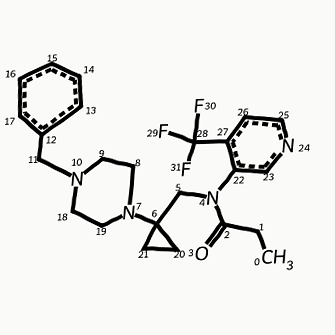 CCC(=O)N(CC1(N2CCN(Cc3ccccc3)CC2)CC1)c1cnccc1C(F)(F)F